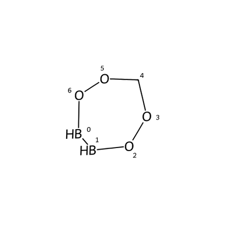 B1BOOCOO1